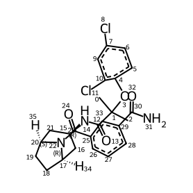 CC(C)(Oc1ccc(Cl)cc1Cl)C(=O)N[C@H]1C[C@H]2CC[C@@H](C1)N2C(=O)c1cccc(C(N)=O)c1